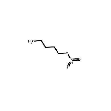 CCCCCO[SH](=S)=S